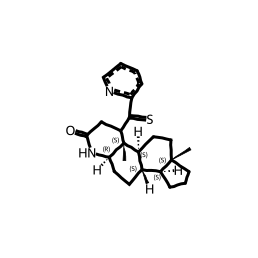 C[C@@]12CCC[C@H]1[C@@H]1CC[C@H]3NC(=O)CC(C(=S)c4ccccn4)[C@]3(C)[C@H]1CC2